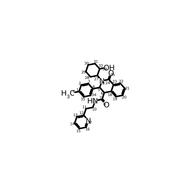 Cc1ccc(C2C(C(=O)NCCc3ccccn3)c3ccccc3C(=O)N2C2CCCCC2O)cc1